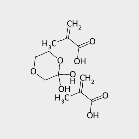 C=C(C)C(=O)O.C=C(C)C(=O)O.OC1(O)COCCO1